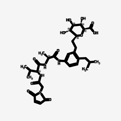 CC(C)Cc1ccc(NC(=O)[C@H](C)NC(=O)[C@@H](NC(=O)CN2C(=O)C=CC2=O)C(C)C)cc1CC[C@@H]1O[C@H](C(=O)O)[C@@H](O)[C@H](O)[C@H]1O